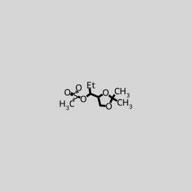 CCC(OS(C)(=O)=O)C1COC(C)(C)O1